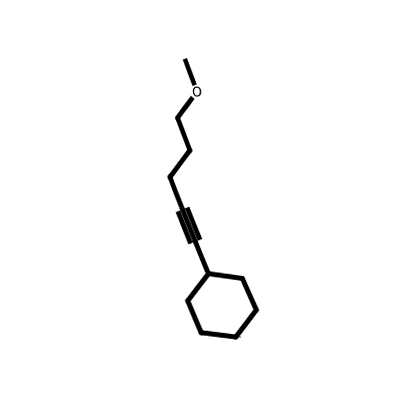 COCCCC#CC1CC[CH]CC1